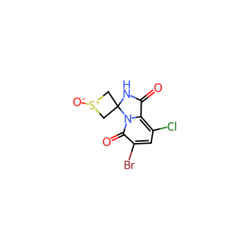 O=C1NC2(C[S+]([O-])C2)n2c1c(Cl)cc(Br)c2=O